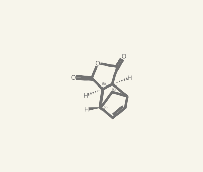 O=C1OC(=O)[C@H]2C3C=C[C@@H](C3)[C@@H]12